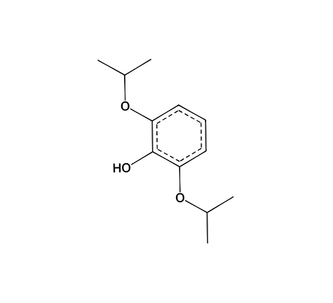 CC(C)Oc1cccc(OC(C)C)c1O